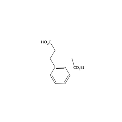 CCOC(C)=O.O=C(O)CCc1ccccc1